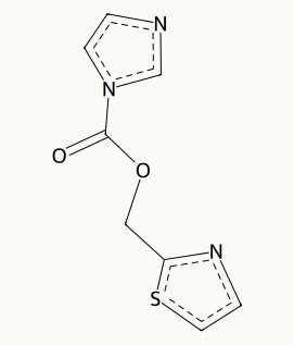 O=C(OCc1nccs1)n1ccnc1